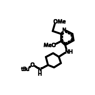 COCc1nccc(NC2CCC(NOC(C)(C)C)CC2)c1OC